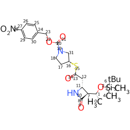 C[C@@H](O[Si](C)(C)C(C)(C)C)[C@H]1C(=O)N[C@@H]1CC(=O)S[C@H]1CCN(C(=O)OCc2ccc([N+](=O)[O-])cc2)C1